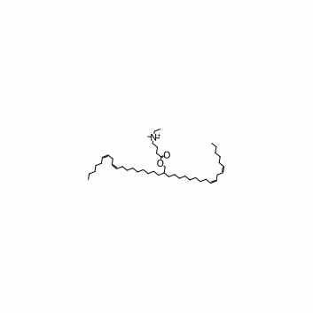 CCCCC/C=C\C/C=C\CCCCCCCCC(CCCCCCCC/C=C\C/C=C\CCCCC)COC(=O)CCC[N+](C)(C)CC